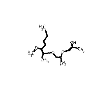 CCCCC(OC)C(C)OCC(C)OCC(C)O